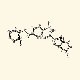 CC(NC(=O)c1cc2cc(F)ccc2[nH]1)c1ccc(OCc2ccccc2F)cn1